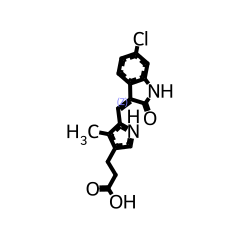 Cc1c(CCC(=O)O)c[nH]c1/C=C1\C(=O)Nc2cc(Cl)ccc21